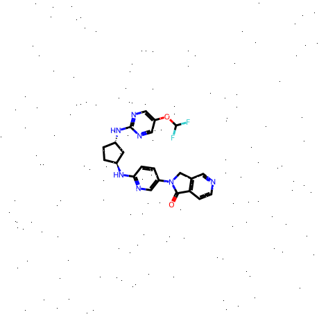 O=C1c2ccncc2CN1c1ccc(N[C@H]2CC[C@H](Nc3ncc(OC(F)F)cn3)C2)nc1